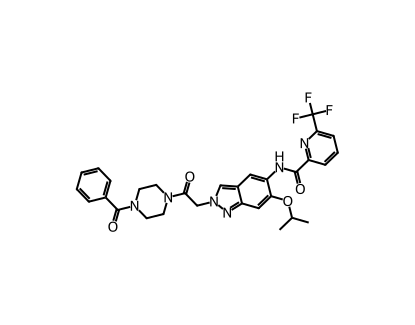 CC(C)Oc1cc2nn(CC(=O)N3CCN(C(=O)c4ccccc4)CC3)cc2cc1NC(=O)c1cccc(C(F)(F)F)n1